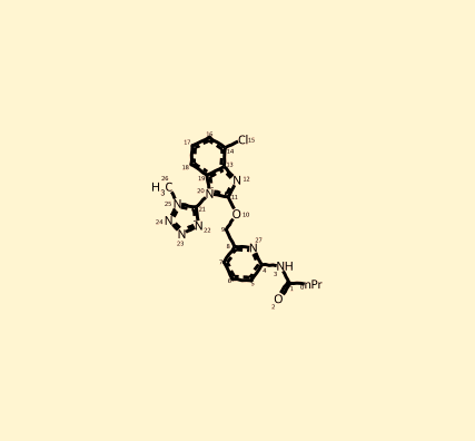 CCCC(=O)Nc1cccc(COc2nc3c(Cl)cccc3n2-c2nnnn2C)n1